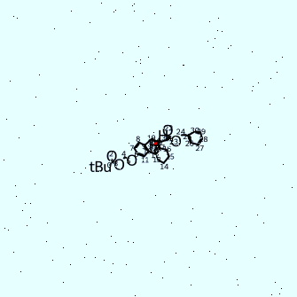 CC(C)(C)C(=O)OCOc1ccc2c(c1)[C@@]13CCCC[C@H]1[C@@H](C2)N(C(=O)OCc1ccccc1)CC3